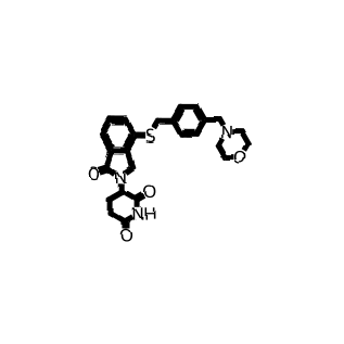 O=C1CCC(N2Cc3c(SCc4ccc(CN5CCOCC5)cc4)cccc3C2=O)C(=O)N1